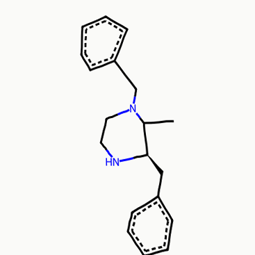 CC1[C@@H](Cc2ccccc2)NCCN1Cc1ccccc1